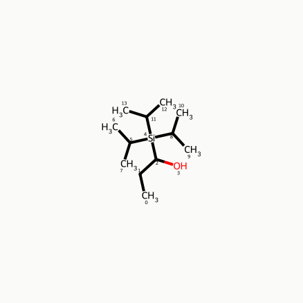 CCC(O)[Si](C(C)C)(C(C)C)C(C)C